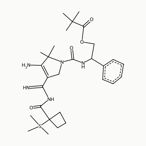 CC(C)(C)C(=O)OCC(NC(=O)N1CC(C(=N)NC(=O)C2(S(C)(C)C)CCC2)=C(N)C1(C)C)c1ccccc1